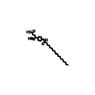 CCCCCCCCC=CCCCCCCCC(=O)Nc1ccc(C(CCC(=O)O)=NO)cc1